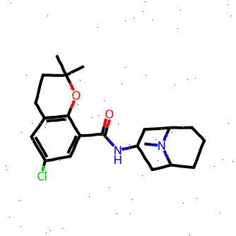 CN1C2CCCC1CC(NC(=O)c1cc(Cl)cc3c1OC(C)(C)CC3)C2